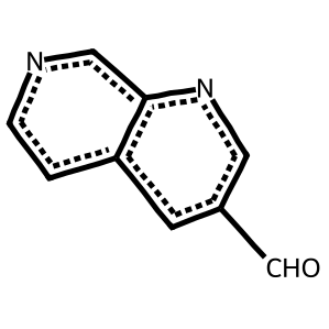 O=Cc1cnc2cnccc2c1